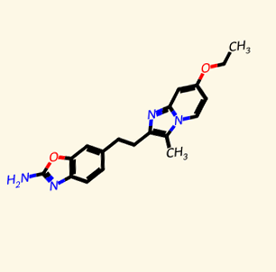 CCOc1ccn2c(C)c(CCc3ccc4nc(N)oc4c3)nc2c1